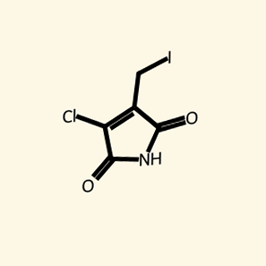 O=C1NC(=O)C(CI)=C1Cl